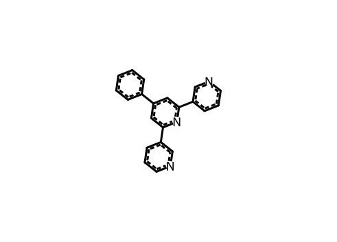 c1ccc(-c2cc(-c3cccnc3)nc(-c3cccnc3)c2)cc1